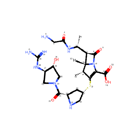 C[C@@H](NC(=O)CN)[C@H]1C(=O)N2C(C(=O)O)=C(S[C@@H]3CN[C@H](C(=O)N4C[C@@H](O)[C@H](NC(=N)N)C4)C3)[C@H](C)[C@H]12